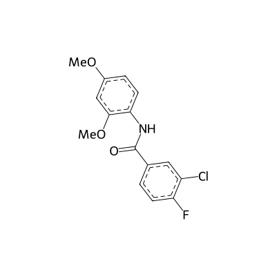 COc1ccc(NC(=O)c2ccc(F)c(Cl)c2)c(OC)c1